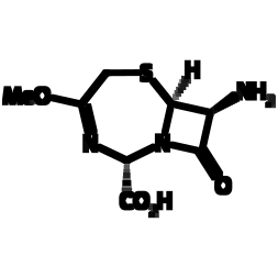 COC1=N[C@@H](C(=O)O)N2C(=O)[C@H](N)[C@@H]2SC1